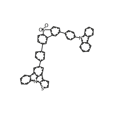 O=S1(=O)c2ccc(-c3ccc(-c4cc5c6ccccc6n6c7sccc7c(c4)c56)cc3)cc2-c2cc(-c3ccc(-n4c5ccccc5c5ccccc54)cc3)ccc21